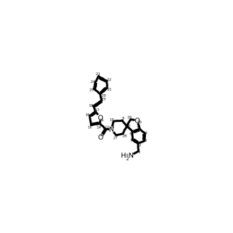 NCc1ccc2c(c1)C1(CCN(C(=O)c3ccc(C=Cc4ccccc4)o3)CC1)CO2